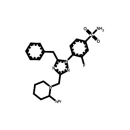 CCCC1CCCCN1Cc1nc(Cc2ccccc2)n(-c2ccc(S(N)(=O)=O)cc2F)n1